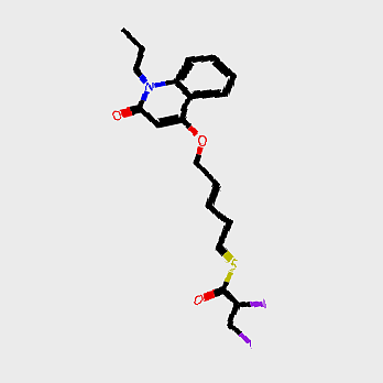 CCCn1c(=O)cc(OCCCCCSC(=O)C(I)CI)c2ccccc21